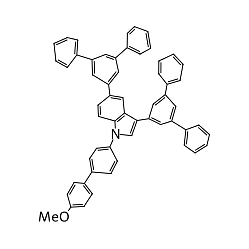 COc1ccc(-c2ccc(-n3cc(-c4cc(-c5ccccc5)cc(-c5ccccc5)c4)c4cc(-c5cc(-c6ccccc6)cc(-c6ccccc6)c5)ccc43)cc2)cc1